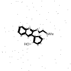 CNCCSc1nc2ccccc2cc1-c1ccccc1.Cl